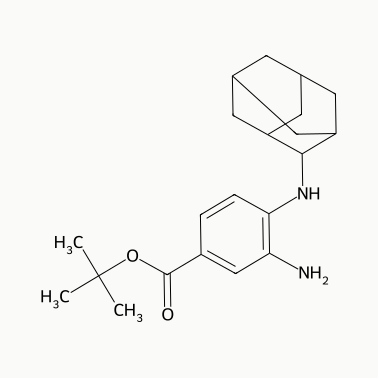 CC(C)(C)OC(=O)c1ccc(NC2C3CC4CC(C3)CC2C4)c(N)c1